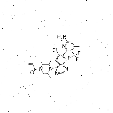 C=CC(=O)N1CC(C)N(c2ncnc3cc(-c4nc(N)cc(C)c4C(F)(F)F)c(Cl)cc23)C(C)C1